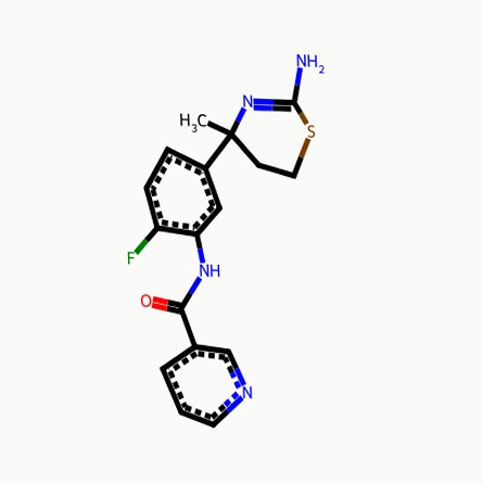 CC1(c2ccc(F)c(NC(=O)c3cccnc3)c2)CCSC(N)=N1